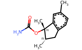 Cc1ccc2c(c1)[C@@](C)(OC(N)=O)[C@@H](C)C2